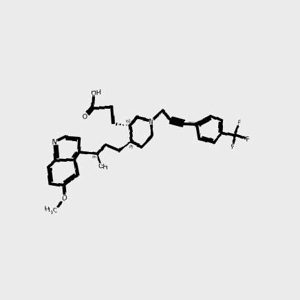 COc1ccc2nccc([C@H](O)CC[C@@H]3CCN(CC#Cc4ccc(C(F)(F)F)cc4)C[C@H]3CCC(=O)O)c2c1